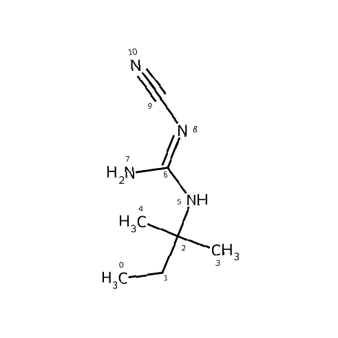 CCC(C)(C)N/C(N)=N/C#N